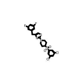 O=S(=O)(c1cc(Cl)cc(Cl)c1)C1CCN(c2nc(Cc3cc(F)cc(F)c3)cs2)CC1